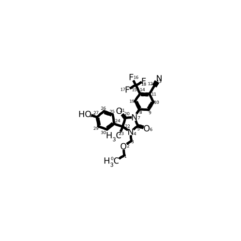 CCOCN1C(=O)N(c2ccc(C#N)c(C(F)(F)F)c2)C(=O)C1(C)c1ccc(O)cc1